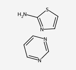 Nc1nccs1.c1cncnc1